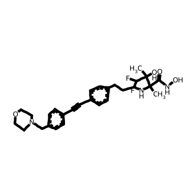 CC(NCCCc1ccc(C#Cc2ccc(CN3CCOCC3)cc2)cc1)(C(=O)NO)C(C)(O)C(F)F